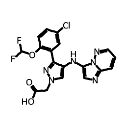 O=C(O)Cn1cc(Nc2cnc3cccnn23)c(-c2cc(Cl)ccc2OC(F)F)n1